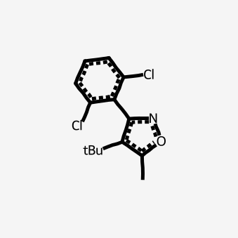 Cc1onc(-c2c(Cl)cccc2Cl)c1C(C)(C)C